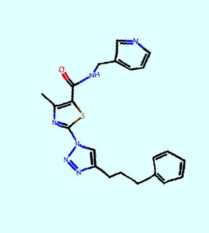 Cc1nc(-n2cc(CCCc3ccccc3)nn2)sc1C(=O)NCc1cccnc1